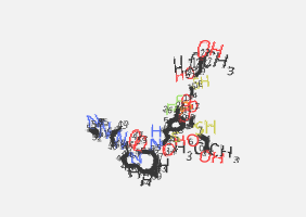 CC(C)(O)CC(O)=[SH]CCOP(=O)(OCC[SH]=C(O)CC(C)(C)O)C(F)(F)c1ccc2sc(C(=O)N[C@H]3C[C@@H]4C[C@@H]4C[C@H]4CC[C@@H](C(=O)N5CC(n6ccnc6)C5)N4C3=O)cc2c1